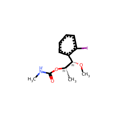 CNC(=O)O[C@@H](C)[C@@H](OC)c1ccccc1I